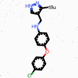 CC(C)(C)c1n[nH]cc1CNc1ccc(Oc2ccc(Cl)cc2)cc1